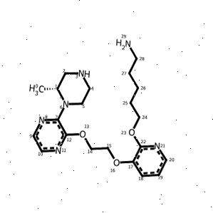 C[C@@H]1CNCCN1c1nccnc1OCCOc1cccnc1OCCCCCN